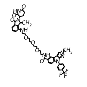 C=C1c2c(NCCOCCOCCOCCNC(=O)c3ccc4c(c3)c3cn(C)nc3n4-c3ccc(C(F)(F)F)cc3)cccc2C(=O)N1C1CCC(=O)NC1=O